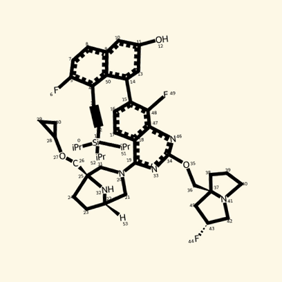 CC(C)[Si](C#Cc1c(F)ccc2cc(O)cc(-c3ccc4c(N5C[C@@H]6CC[C@](COC7CC7)(C5)N6)nc(OC[C@@]56CCCN5C[C@H](F)C6)nc4c3F)c12)(C(C)C)C(C)C